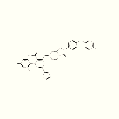 COC(=O)C1=C(CN2CCN3C(=O)N(c4ccc(Oc5ccc(C(=O)O)cn5)cc4)CC3C2)NC(c2nccs2)=NC1c1ccc(F)cc1Cl